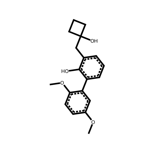 COc1ccc(OC)c(-c2cccc(CC3(O)CCC3)c2O)c1